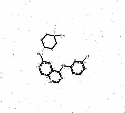 C[C@]1(O)CC[C@H](Nc2ncc3ncnc(Nc4cccc(Cl)c4)c3n2)CC1